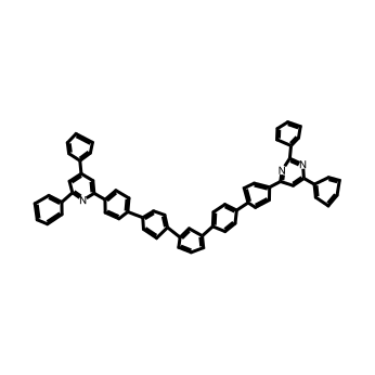 c1ccc(-c2cc(-c3ccccc3)nc(-c3ccc(-c4ccc(-c5cccc(-c6ccc(-c7ccc(-c8cc(-c9ccccc9)nc(-c9ccccc9)n8)cc7)cc6)c5)cc4)cc3)c2)cc1